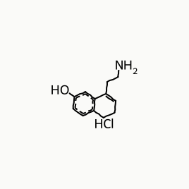 Cl.NCCC1=CCCc2ccc(O)cc21